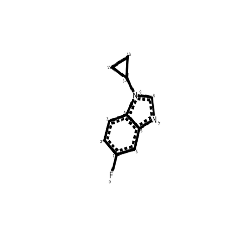 Fc1ccc2c(c1)ncn2C1CC1